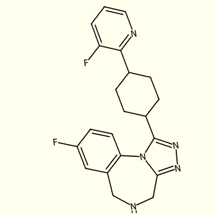 Fc1ccc2c(c1)CNCc1nnc(C3CCC(c4ncccc4F)CC3)n1-2